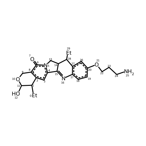 CCC1c2cc3n(c(=O)c2COC1O)CC1C3=Nc2ccc(OCCCN)cc2C1CC